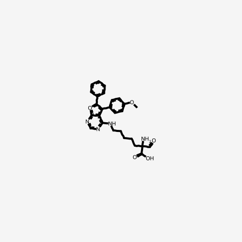 COc1ccc(-c2c(-c3ccccc3)oc3ncnc(NCCCCCC(N)(C=O)C(=O)O)c23)cc1